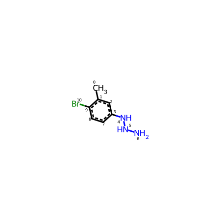 Cc1cc(NNN)ccc1Br